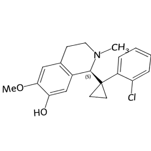 COc1cc2c(cc1O)[C@H](C1(c3ccccc3Cl)CC1)N(C)CC2